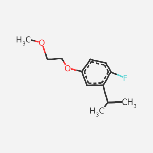 COCCOc1ccc(F)c(C(C)C)c1